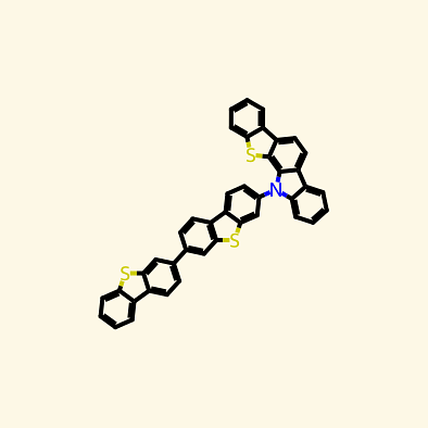 c1ccc2c(c1)sc1cc(-c3ccc4c(c3)sc3cc(-n5c6ccccc6c6ccc7c8ccccc8sc7c65)ccc34)ccc12